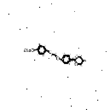 COc1ccc(OCCOc2ccc(C3OCCCO3)cc2)cc1